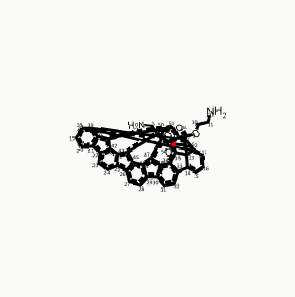 NCCOC(=O)C1(C(=O)OCCN)C23C4=CC=C5c6ccc7c8ccc9c%10ccc%11c%12ccc4c4c2c2c%13c(c6c7c6c8c9c7c%10c%11c(c4%12)c2c7c%136)C513